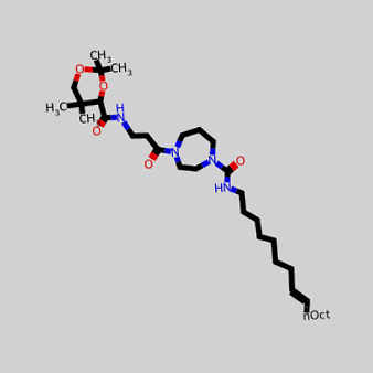 CCCCCCCCC=CCCCCCCCNC(=O)N1CCCN(C(=O)CCNC(=O)C2OC(C)(C)OCC2(C)C)CC1